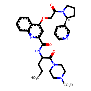 CCOC(=O)N1CCN(C(=O)C(CCC(=O)O)NC(=O)c2cc(OCC(=O)N3CCC[C@H]3c3cccnc3)c3ccccc3n2)CC1